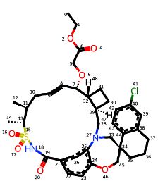 CCOC(=O)CO[C@H]1/C=C/C[C@H](C)[C@@H](C)S(=O)(=O)NC(=O)c2ccc3c(c2)N(C[C@@H]2CC[C@H]21)C[C@@]1(CCCc2cc(Cl)ccc21)CO3